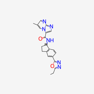 CCc1nnc(-c2ccc3c(c2)CC[C@H]3NC(=O)c2cnc3ncc(C)cn23)o1